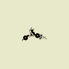 CS(=O)(=O)c1ccc(-c2cc(C(F)(F)F)nc(OCc3ccc(F)cc3)n2)cc1